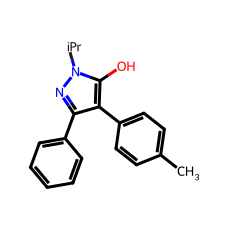 Cc1ccc(-c2c(-c3ccccc3)nn(C(C)C)c2O)cc1